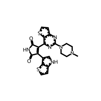 CN1CCN(c2nc(C3=C(c4c[nH]c5ccsc45)C(=O)NC3=O)c3sccc3n2)CC1